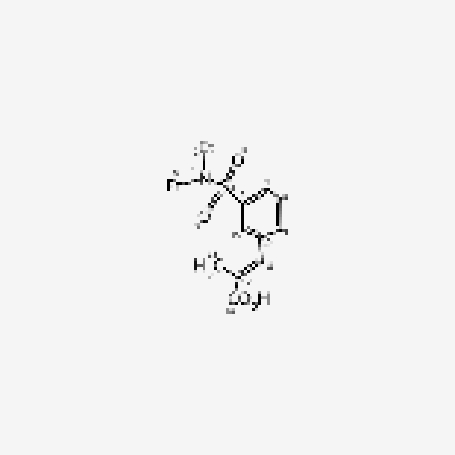 CCN(CC)S(=O)(=O)c1cccc(/C=C(\C)C(=O)O)c1